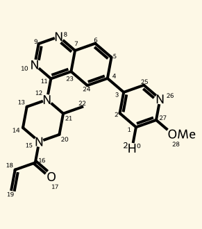 [2H]c1cc(-c2ccc3ncnc(N4CCN(C(=O)C=C)CC4C)c3c2)cnc1OC